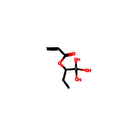 C=CC(=O)OC(CC)[Si](O)(O)O